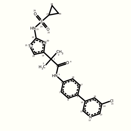 CC(C)(C(=O)Nc1ccc(-c2cncc(Cl)c2)cc1)c1csc(NS(=O)(=O)C2CC2)n1